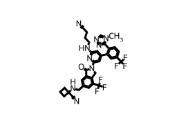 Cn1cnnc1-c1ccc(C(F)(F)F)cc1-c1cc(NCCCC#N)nc(N2Cc3c(cc(CNC4(C#N)CCC4)cc3C(F)(F)F)C2=O)c1